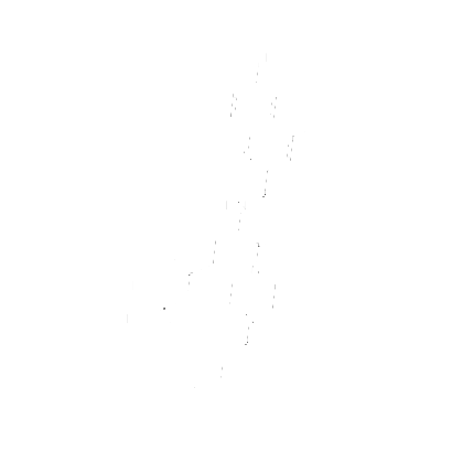 CCOC(=O)N1CCN(C(=O)C(CCC(=O)OC(C)(C)C)NC(=O)c2cc(O)c3cc(C)ccc3n2)CC1